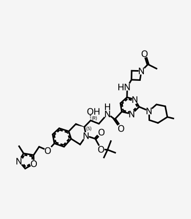 CC(=O)N1CC(Nc2cc(C(=O)NC[C@@H](O)[C@@H]3Cc4ccc(OCc5ocnc5C)cc4CN3C(=O)OC(C)(C)C)nc(N3CCC(C)CC3)n2)C1